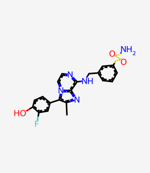 Cc1nc2c(NCc3cccc(S(N)(=O)=O)c3)nccn2c1-c1ccc(O)c(F)c1